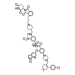 CC1(C)CCC(CN2CCN(c3ccc(C(=O)NS(=O)(=O)c4ccc(NCC5CCN(CCCc6cccc7c6C(=O)N(C6CCC(=O)NC6=O)C7=O)CC5)c([N+](=O)[O-])c4)c(Oc4cnc5[nH]ccc5c4)c3)CC2)=C(c2ccc(Cl)cc2)C1